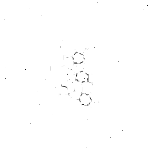 CCC(CNC(=O)C(C)(C)Oc1ccc(Cl)cc1)(c1ccc(Cl)cc1)c1ccc(Cl)cc1F